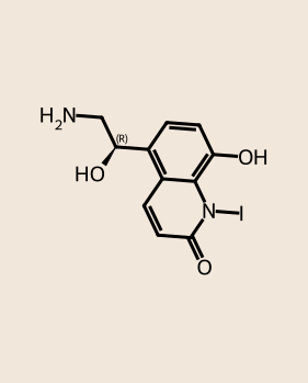 NC[C@H](O)c1ccc(O)c2c1ccc(=O)n2I